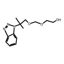 CC(C)(COCOCCO)n1nnc2ccccc21